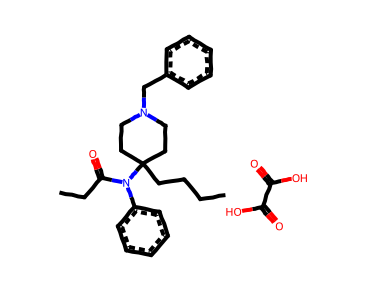 CCCCC1(N(C(=O)CC)c2ccccc2)CCN(Cc2ccccc2)CC1.O=C(O)C(=O)O